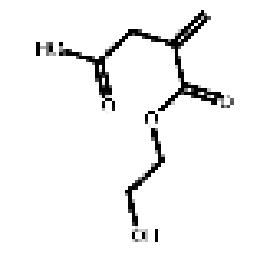 C=C(CC(=O)O)C(=O)OCCO